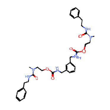 CN(CCOC(=O)NCc1cccc(CNC(=O)OCCN(C)C(=O)NCCc2ccccc2)c1)C(=O)NCCc1ccccc1